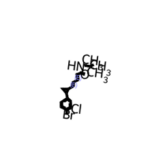 CC(C)C(C)NC(=O)/C=C/C=C/C1CC1c1ccc(Br)c(Cl)c1